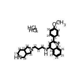 COc1ccc(-c2cc(NCCCN3CC4CCNCC4C3)c3ccccc3n2)cc1.Cl.Cl